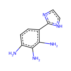 Nc1ccc(-c2ncc[nH]2)c(N)c1N